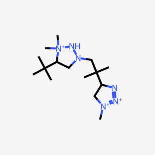 C[N+]1=[N+]=NC(C(C)(C)CN2CC(C(C)(C)C)[N+](C)(C)N2)C1